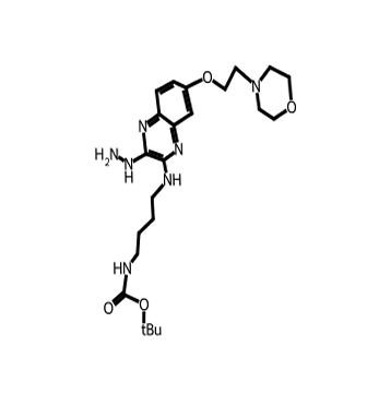 CC(C)(C)OC(=O)NCCCCNc1nc2cc(OCCN3CCOCC3)ccc2nc1NN